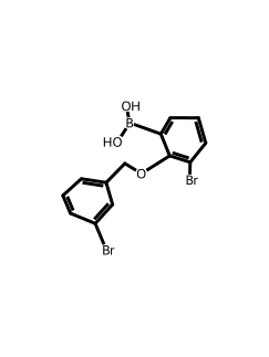 OB(O)c1cccc(Br)c1OCc1cccc(Br)c1